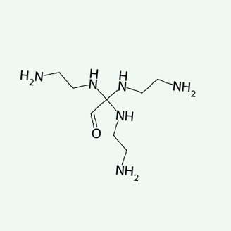 NCCNC(C=O)(NCCN)NCCN